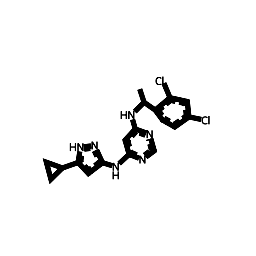 CC(Nc1cc(Nc2cc(C3CC3)[nH]n2)ncn1)c1ccc(Cl)cc1Cl